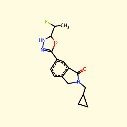 CC(F)C1NN=C(c2ccc3c(c2)C(=O)N(CC2CC2)C3)O1